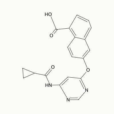 O=C(O)c1cccc2cc(Oc3cc(NC(=O)C4CC4)ncn3)ccc12